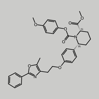 COC(=O)[C@@H]1CCC[C@H](c2ccc(OCCc3nc(-c4ccccc4)oc3C)cc2)N1C(=O)Oc1ccc(OC)cc1